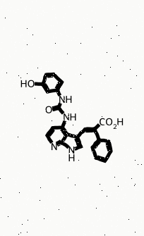 O=C(Nc1cccc(O)c1)Nc1ccnc2[nH]cc(/C=C(/C(=O)O)c3ccccc3)c12